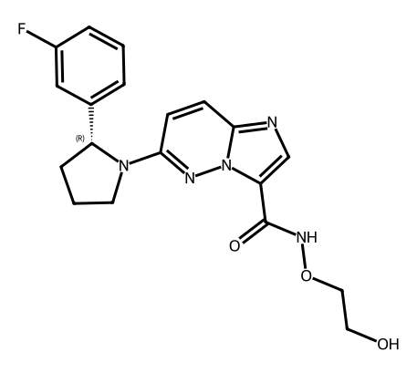 O=C(NOCCO)c1cnc2ccc(N3CCC[C@@H]3c3cccc(F)c3)nn12